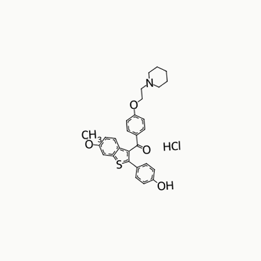 COc1ccc2c(C(=O)c3ccc(OCCN4CCCCC4)cc3)c(-c3ccc(O)cc3)sc2c1.Cl